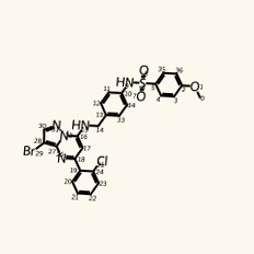 COc1ccc(S(=O)(=O)Nc2ccc(CNc3cc(-c4ccccc4Cl)nc4c(Br)cnn34)cc2)cc1